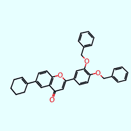 O=c1cc(-c2ccc(OCc3ccccc3)c(OCc3ccccc3)c2)oc2ccc(C3=CCCCC3)cc12